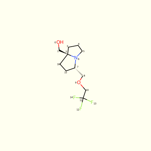 OC[C@@]12CCCN1[C@H](COCC(F)(F)F)CC2